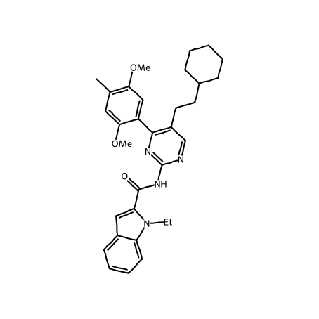 CCn1c(C(=O)Nc2ncc(CCC3CCCCC3)c(-c3cc(OC)c(C)cc3OC)n2)cc2ccccc21